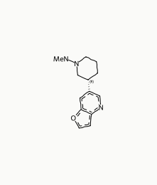 CNN1CCC[C@H](c2cnc3ccoc3c2)C1